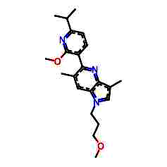 COCCCn1cc(C)c2nc(-c3ccc(C(C)C)nc3OC)c(C)cc21